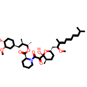 CO[C@@H](C[C@@H]1CC[C@@H](C)[C@](O)(C(=O)C(=O)N2CCCC[C@H]2C(=O)O[C@@H](C)[C@H](C)C[C@@H]2CC[C@@H](O)[C@H](OC)C2)O1)/C(C)=C/C=C/C=C/C(C)C